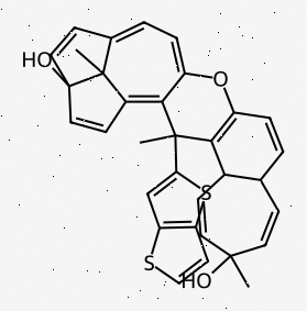 CC1(O)C=CC2C=CC3=C(C2C=C1)C(C)(c1cc2sccc2s1)C1=C2C=CC4(O)C=CC(=CC=C1O3)C24C